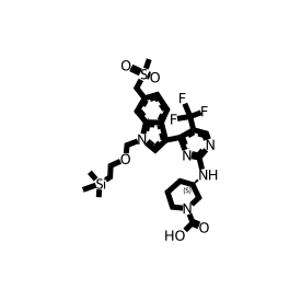 C[Si](C)(C)CCOCn1cc(-c2nc(N[C@H]3CCCN(C(=O)O)C3)ncc2C(F)(F)F)c2ccc(CS(C)(=O)=O)cc21